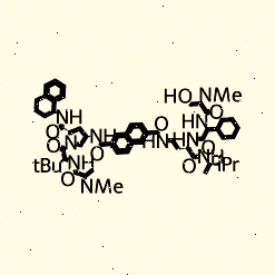 CN[C@@H](C)C(=O)N[C@H](C(=O)N1C[C@@H](NC(=O)c2ccc3cc(C(=O)NCC[C@H](NC(=O)[C@@H](NC(=O)[C@H](CO)NC)C4CCCCC4)C(=O)N[C@H](C)C(C)C)ccc3c2)C[C@H]1C(=O)N[C@@H]1CCCc2ccccc21)C(C)(C)C